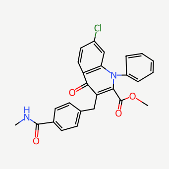 CNC(=O)c1ccc(Cc2c(C(=O)OC)n(-c3ccccc3)c3cc(Cl)ccc3c2=O)cc1